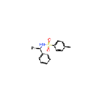 Cc1ccc(S(=O)(=O)NC(c2ccccc2)C(C)C)cc1